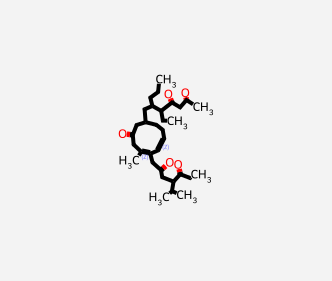 CCCC(CC1CC/C=C\C(CC(=O)CC(C(=O)CC)C(C)C)=C(\C)CC(=O)C1)C(CC)C(=O)CC(C)=O